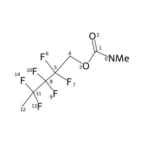 CNC(=O)OCC(F)(F)C(F)(F)C(C)(F)F